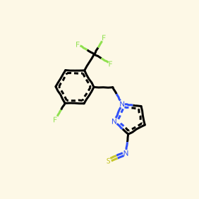 Fc1ccc(C(F)(F)F)c(Cn2ccc(N=S)n2)c1